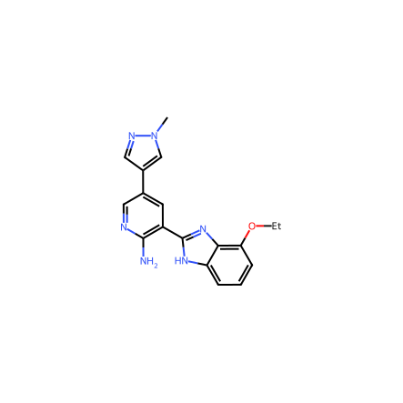 CCOc1cccc2[nH]c(-c3cc(-c4cnn(C)c4)cnc3N)nc12